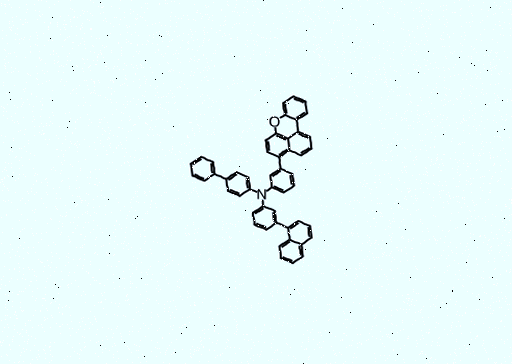 c1ccc(-c2ccc(N(c3cccc(-c4cccc5ccccc45)c3)c3cccc(-c4ccc5c6c(cccc46)-c4ccccc4O5)c3)cc2)cc1